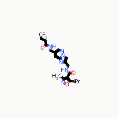 Cc1noc(C(C)C)c1C(=O)NCc1cn2ncc(CNC(=O)CCC(F)(F)F)cc2n1